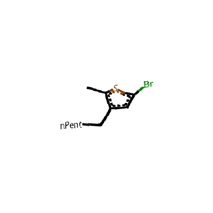 CCCCCCc1cc(Br)sc1C